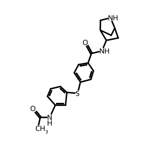 CC(=O)Nc1cccc(Sc2ccc(C(=O)NC3CC4CC3CN4)cc2)c1